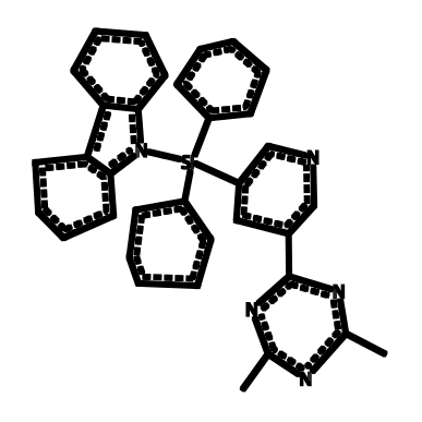 Cc1nc(C)nc(-c2cncc([Si](c3ccccc3)(c3ccccc3)n3c4ccccc4c4ccccc43)c2)n1